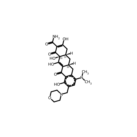 CN(C)c1cc(CN2CCOCC2)c(O)c2c1C[C@H]1C[C@H]3CC(O)=C(C(N)=O)C(=O)[C@@]3(O)C(O)=C1C2=O